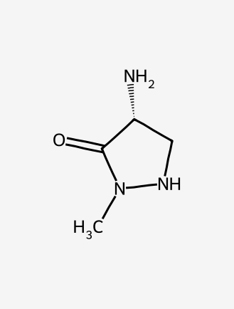 CN1NC[C@@H](N)C1=O